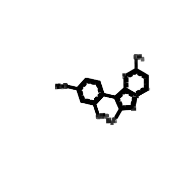 COc1ccc(-c2c(C)nn3[c]cc(C)nc23)c(OC)c1